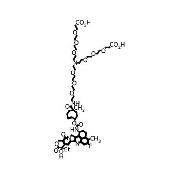 CC[C@@]1(O)C(=O)OCc2c1cc1n(c2=O)Cc2c-1nc1cc(F)c(C)c3c1c2[C@@H](NC(=O)O[C@H]1/C=C/CC[C@@](C)(C(=O)NCCOCCOCCOCCN(CCOCCOCCOCCC(=O)O)CCOCCOCCOCCC(=O)O)CC1)CC3